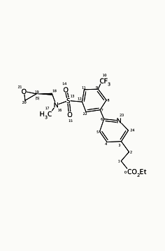 CCOC(=O)CCc1ccc(-c2cc(C(F)(F)F)cc(S(=O)(=O)N(C)C[C@H]3CO3)c2)nc1